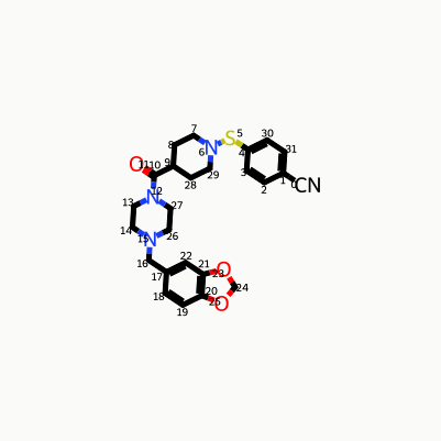 N#Cc1ccc(SN2CCC(C(=O)N3CCN(Cc4ccc5c(c4)OCO5)CC3)CC2)cc1